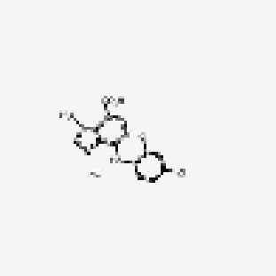 Cl.Cn1cnc2c(Nc3ccc(Cl)cc3Cl)ncc(C(=O)O)c21